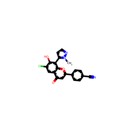 Cn1nccc1-c1c(O)c(Cl)cc2c(=O)cc(-c3ccc(C#N)cc3)oc12